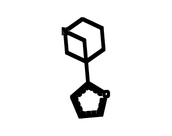 c1coc(C23CCCN(C2)C3)c1